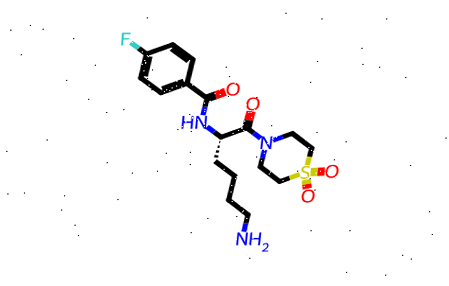 NCCCC[C@H](NC(=O)c1ccc(F)cc1)C(=O)N1CCS(=O)(=O)CC1